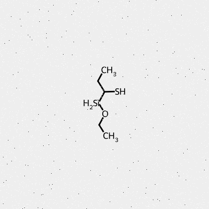 CCO[SiH2]C(S)CC